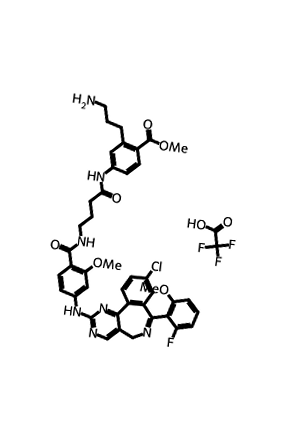 COC(=O)c1ccc(NC(=O)CCCNC(=O)c2ccc(Nc3ncc4c(n3)-c3ccc(Cl)cc3C(c3c(F)cccc3OC)=NC4)cc2OC)cc1CCCN.O=C(O)C(F)(F)F